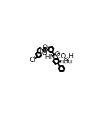 CCCCc1c(-c2ccccc2)ccc(NC(=O)c2cccc(S(=O)(=O)N3CCc4cc(Cl)ccc43)c2)c1C(=O)O